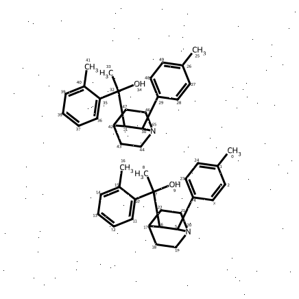 Cc1ccc(C2C(C(C)(O)c3ccccc3C)C3CCN2CC3)cc1.Cc1ccc(C2C(C(C)(O)c3ccccc3C)C3CCN2CC3)cc1